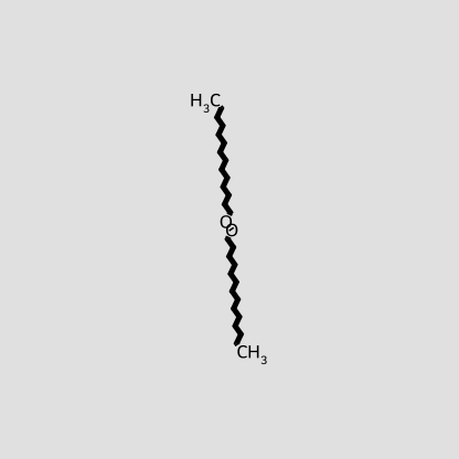 CCCCCCCCCCCCCCOOCCCCCCCCCCCCCC